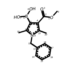 COC(=O)c1c(B(O)O)c(C)n(Cc2ccccc2)c1C